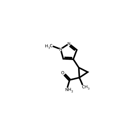 Cn1cc(C2CC2(C)C(N)=O)cn1